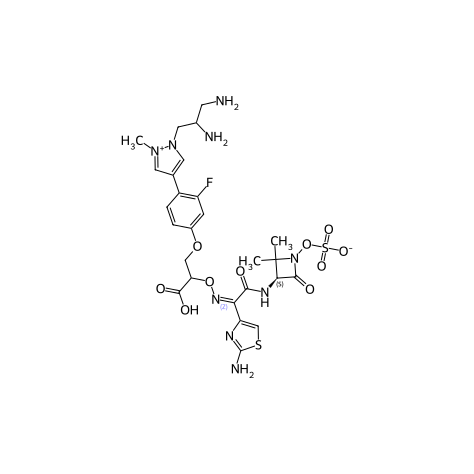 C[n+]1cc(-c2ccc(OCC(O/N=C(\C(=O)N[C@@H]3C(=O)N(OS(=O)(=O)[O-])C3(C)C)c3csc(N)n3)C(=O)O)cc2F)cn1CC(N)CN